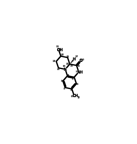 Cc1ccc2c(c1)NC(=O)[C@@H]1CC(O)CCN21